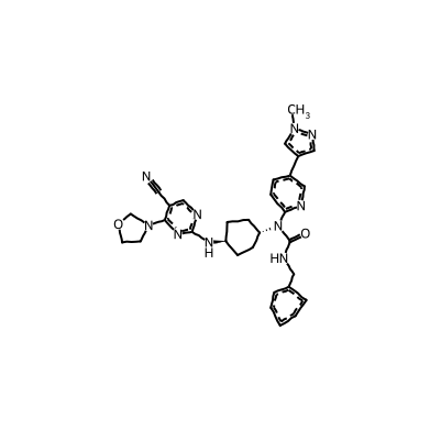 Cn1cc(-c2ccc(N(C(=O)NCc3ccccc3)[C@H]3CC[C@H](Nc4ncc(C#N)c(N5CCOC5)n4)CC3)nc2)cn1